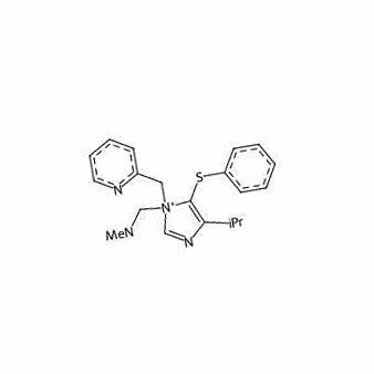 CNC[N+]1(Cc2ccccn2)C=NC(C(C)C)=C1Sc1ccccc1